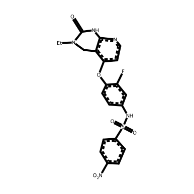 CCN1Cc2c(Oc3ccc(NS(=O)(=O)c4ccc([N+](=O)[O-])cc4)cc3F)ccnc2NC1=O